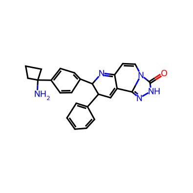 NC1(c2ccc(C3N=c4ccn5c(=O)[nH]nc5c4=CC3c3ccccc3)cc2)CCC1